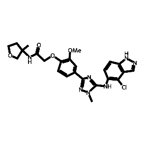 COc1cc(-c2nc(Nc3ccc4[nH]ncc4c3Cl)n(C)n2)ccc1OCC(=O)NC1(C)CCOC1